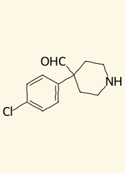 O=CC1(c2ccc(Cl)cc2)CCNCC1